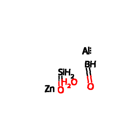 B=O.O.O=[SiH2].[Al].[Zn]